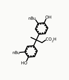 CCCCc1cc(C(C)(CC(=O)O)c2ccc(O)c(CCCC)c2)ccc1O